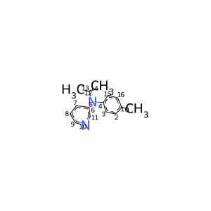 Cc1ccc(N(c2cccnc2)C(C)C)cc1